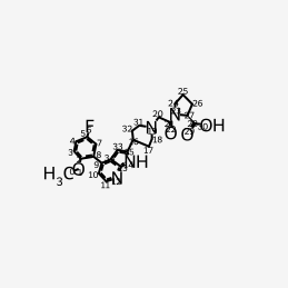 COc1ccc(F)cc1-c1ccnc2[nH]c(C3CCN(CC(=O)N4CCC[C@H]4C(=O)O)CC3)cc12